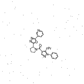 CCCc1c(C(=O)N2CCCC2c2nnc(-c3cccnc3)o2)cnn1-c1ccccc1